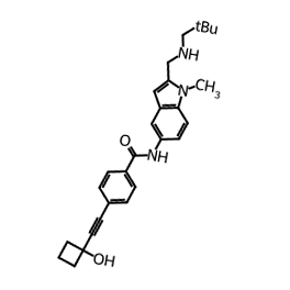 Cn1c(CNCC(C)(C)C)cc2cc(NC(=O)c3ccc(C#CC4(O)CCC4)cc3)ccc21